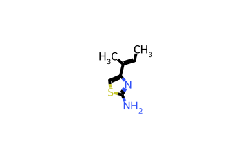 C/C=C(\C)c1csc(N)n1